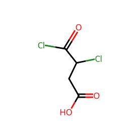 O=C(O)CC(Cl)C(=O)Cl